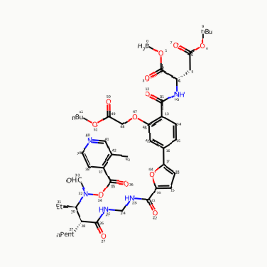 BOC(=O)[C@H](CC(=O)OCCCC)NC(=O)c1ccc(-c2ccc(C(=O)NCNC(=O)[C@H](CCCCC)[C@@H](CC)N(C=O)OC(=O)c3ccncc3C)o2)cc1OCC(=O)OCCCC